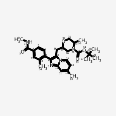 CNC(=O)c1ccc(-c2nc3cc(C)ccn3c2CC2CN(C(=O)OC(C)(C)C)C(C)CO2)c(C)c1